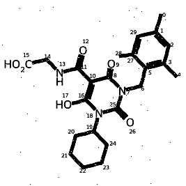 Cc1cc(C)c(Cn2c(=O)c(C(=O)NCC(=O)O)c(O)n(C3CCCCC3)c2=O)c(C)c1